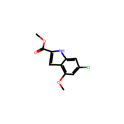 COC(=O)c1cc2c(OC)cc(Cl)cc2[nH]1